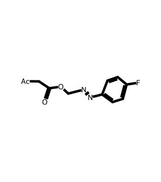 CC(=O)CC(=O)OCN=Nc1ccc(F)cc1